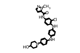 Cn1nccc1C(=O)Nc1ccc(Nc2ccc(Nc3ccc(N4CCC(O)CC4)cc3)cc2)c(Cl)c1